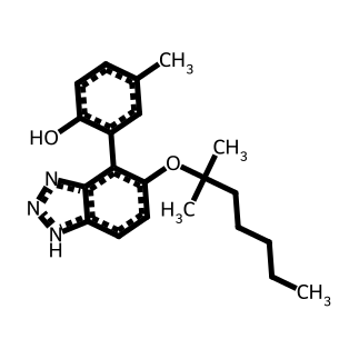 CCCCCC(C)(C)Oc1ccc2[nH]nnc2c1-c1cc(C)ccc1O